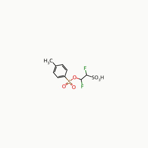 Cc1ccc(S(=O)(=O)OC(F)C(F)S(=O)(=O)O)cc1